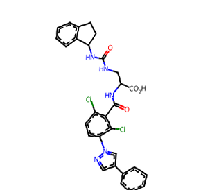 O=C(NCC(NC(=O)c1c(Cl)ccc(-n2cc(-c3ccccc3)cn2)c1Cl)C(=O)O)NC1CCc2ccccc21